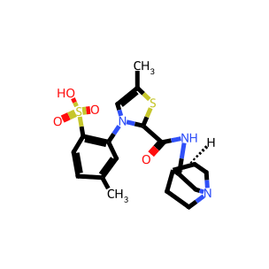 CC1=CN(c2cc(C)ccc2S(=O)(=O)O)C(C(=O)N[C@H]2CN3CCC2CC3)S1